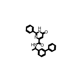 CC(NC(=O)c1cc(=O)[nH]c(-c2ccccc2)n1)c1cccc(-c2ccccc2)c1